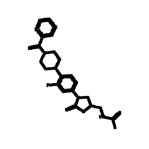 CC(=S)NCC1CN(c2ccc(N3CCN(C(=S)c4cnccn4)CC3)c(F)c2)C(=O)O1